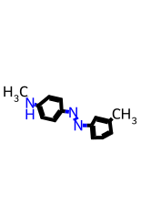 CNc1ccc(/N=N/c2cccc(C)c2)cc1